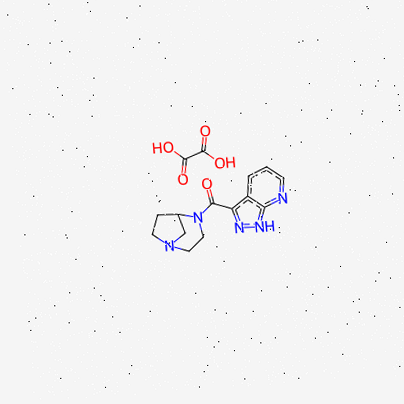 O=C(O)C(=O)O.O=C(c1n[nH]c2ncccc12)N1CCN2CCC1C2